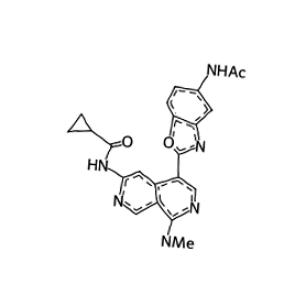 CNc1ncc(-c2nc3cc(NC(C)=O)ccc3o2)c2cc(NC(=O)C3CC3)ncc12